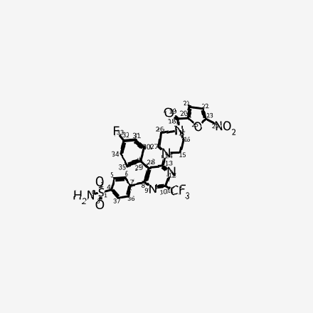 NS(=O)(=O)c1ccc(-c2nc(C(F)(F)F)nc(N3CCN(C(=O)c4ccc([N+](=O)[O-])o4)CC3)c2-c2ccc(F)cc2)cc1